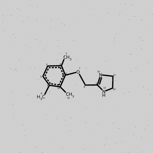 Cc1ccc(C)c(OCC2=NCCN2)c1C